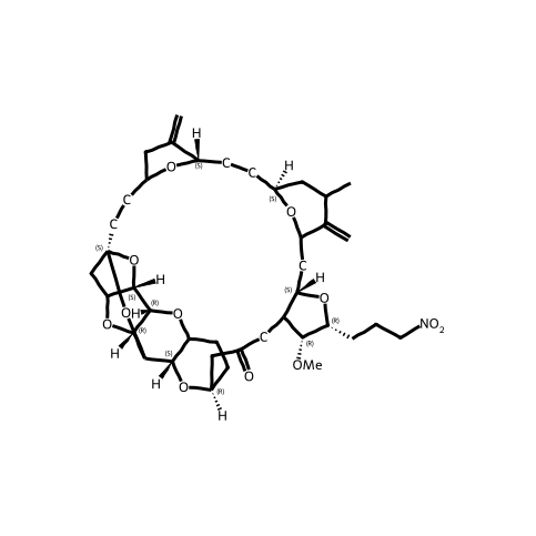 C=C1C(C)C[C@@H]2CC[C@@H]3OC(CC[C@@]45CC6O[C@H]7C(O4)[C@H]4O[C@H](CCC4O[C@H]7[C@H]6O5)CC(=O)CC4[C@H](CC1O2)O[C@H](CCC[N+](=O)[O-])[C@@H]4OC)CC3=C